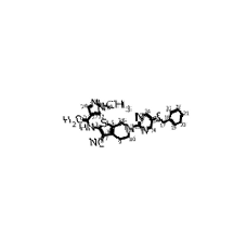 C=C(Nc1sc2c(c1C#N)CCN(c1ncc(SCc3ccccc3)cn1)C2)c1cnn(C)c1